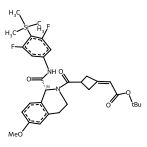 COc1ccc2c(c1)CCN(C(=O)C1CC(=CC(=O)OC(C)(C)C)C1)[C@H]2C(=O)Nc1cc(F)c([Si](C)(C)C)c(F)c1